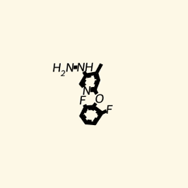 Cc1cc(Oc2c(F)cccc2F)ncc1NN